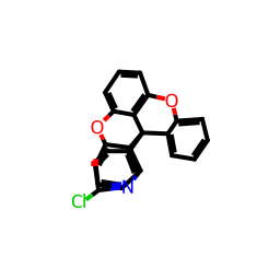 Clc1ccc(C23c4ccccc4Oc4cccc(c42)Oc2ccccc23)cn1